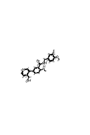 CNc1ccc(-c2cnccc2CO)cc1C(=O)NCc1ccc(OC)c(F)c1